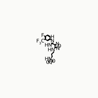 CS(=O)(=O)NCCCNc1nonc1C(=N)Nc1ccc(F)c(C(F)(F)F)c1